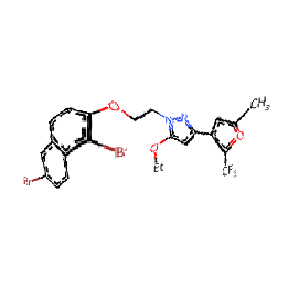 CCOc1cc(-c2cc(C)oc2C(F)(F)F)nn1CCOc1ccc2cc(Br)ccc2c1Br